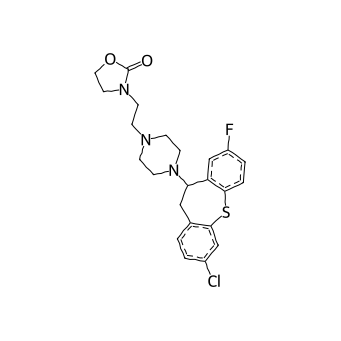 O=C1OCCN1CCN1CCN(C2Cc3ccc(Cl)cc3Sc3ccc(F)cc32)CC1